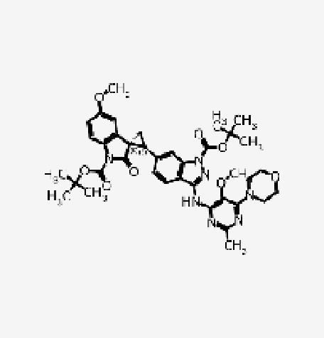 COc1ccc2c(c1)[C@]1(C[C@H]1c1ccc3c(Nc4nc(C)nc(N5CCOCC5)c4OC)nn(C(=O)OC(C)(C)C)c3c1)C(=O)N2C(=O)OC(C)(C)C